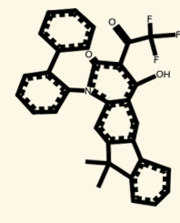 CC1(C)c2ccccc2-c2cc3c(O)c(C(=O)C(F)(F)F)c(=O)n(-c4ccccc4-c4ccccc4)c3cc21